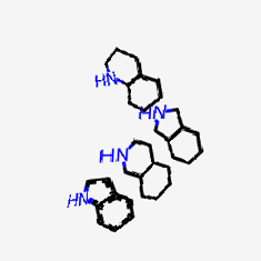 C1CCC2CNCC2C1.C1CCC2CNCCC2C1.C1CCC2NCCCC2C1.c1ccc2[nH]ccc2c1